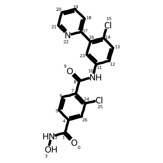 O=C(NO)c1ccc(C(=O)Nc2ccc(Cl)c(-c3ccccn3)c2)c(Cl)c1